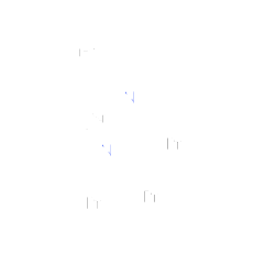 CC(C)CN(CC(C)C)[SiH2]N(CC(C)C)CC(C)C